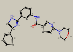 O=C(Nc1cccc(-c2nc(-c3ccccc3)c[nH]2)c1)c1ccc(N2CCOCC2)nc1